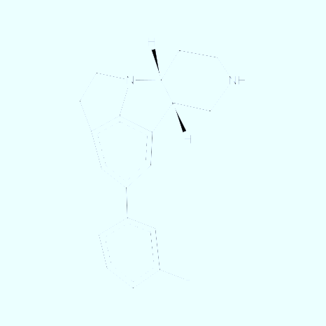 Fc1cccc(-c2cc3c4c(c2)[C@H]2CNCC[C@H]2N4CC3)c1